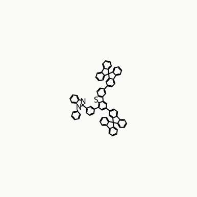 c1ccc(-n2c(-c3cccc(-c4cc(-c5ccc6c(c5)C5(c7ccccc7-c7ccccc75)c5ccccc5-6)cc5c4sc4ccc(-c6ccc7c(c6)C6(c8ccccc8-c8ccccc86)c6ccccc6-7)cc45)c3)nc3ccccc32)cc1